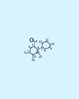 Cc1cc(C=O)c(-c2ccccc2)c(C)c1C